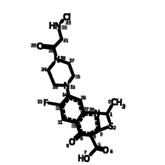 CC1Sc2c(C(=O)O)c(=O)c3cc(F)c(N4CCN(C(=O)CNCl)CC4)cc3n21